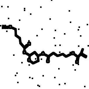 C=C(C)C(=O)OCCCCC(=O)OC1CCOC(OC(=O)CCCCOC)C1